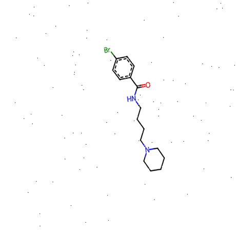 O=C(NCCCCN1CCCCC1)c1ccc(Br)cc1